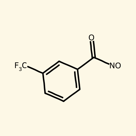 O=NC(=O)c1cccc(C(F)(F)F)c1